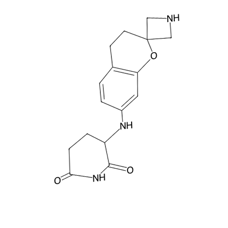 O=C1CCC(Nc2ccc3c(c2)OC2(CC3)CNC2)C(=O)N1